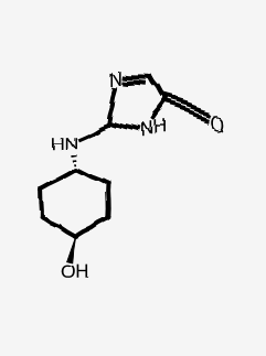 O=C1C=NC(N[C@H]2CC[C@H](O)CC2)N1